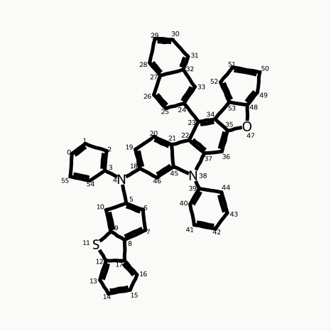 c1ccc(N(c2ccc3c(c2)sc2ccccc23)c2ccc3c4c(-c5ccc6ccccc6c5)c5c(cc4n(-c4ccccc4)c3c2)oc2ccccc25)cc1